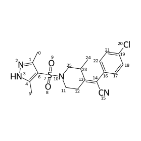 Cc1n[nH]c(C)c1S(=O)(=O)N1CCC(=C(C#N)c2ccc(Cl)cc2)C(C)C1